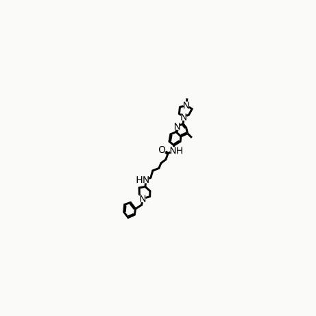 Cc1cc(N2CCN(C)CC2)nc2ccc(NC(=O)CCCCCNC3CCN(Cc4ccccc4)CC3)cc12